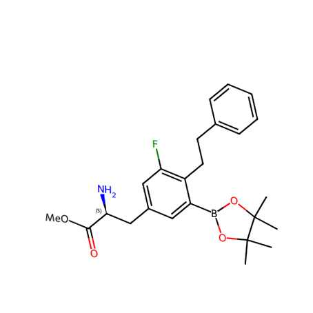 COC(=O)[C@@H](N)Cc1cc(F)c(CCc2ccccc2)c(B2OC(C)(C)C(C)(C)O2)c1